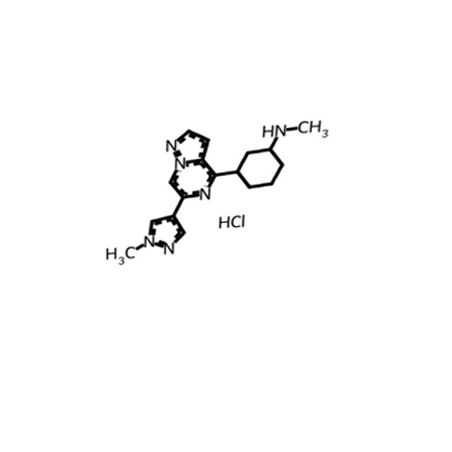 CNC1CCCC(c2nc(-c3cnn(C)c3)cn3nccc23)C1.Cl